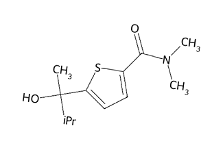 CC(C)C(C)(O)c1ccc(C(=O)N(C)C)s1